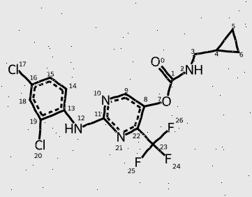 O=C(NCC1CC1)Oc1cnc(Nc2ccc(Cl)cc2Cl)nc1C(F)(F)F